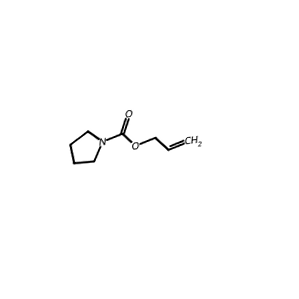 C=CCOC(=O)N1CCCC1